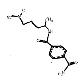 CCN(CC)CCCC(C)NC(=O)c1ccc(C(N)=O)cc1